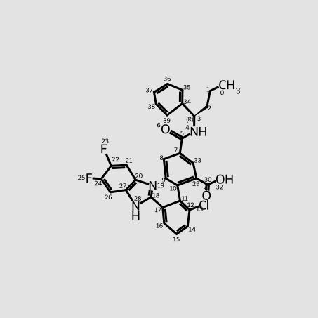 CCC[C@@H](NC(=O)c1ccc(-c2c(Cl)cccc2-c2nc3cc(F)c(F)cc3[nH]2)c(C(=O)O)c1)c1ccccc1